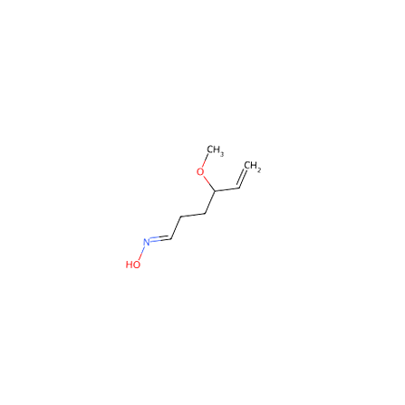 C=CC(CC/C=N/O)OC